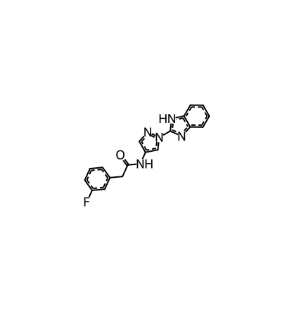 O=C(Cc1cccc(F)c1)Nc1cnn(-c2nc3ccccc3[nH]2)c1